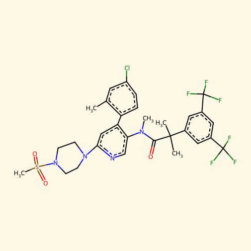 Cc1cc(Cl)ccc1-c1cc(N2CCN(S(C)(=O)=O)CC2)ncc1N(C)C(=O)C(C)(C)c1cc(C(F)(F)F)cc(C(F)(F)F)c1